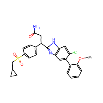 CC(C)Oc1ccccc1-c1cc2nc(C(CC(N)=O)c3ccc(S(=O)(=O)CC4CC4)cc3)[nH]c2cc1Cl